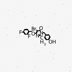 Cc1nc(OCc2ccc(F)cc2F)c(Br)c(=O)n1Cc1ccc(O)cc1